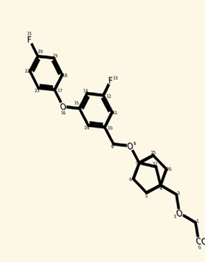 O=C(O)COCC12CCC(OCc3cc(F)cc(Oc4ccc(F)cc4)c3)(CC1)C2